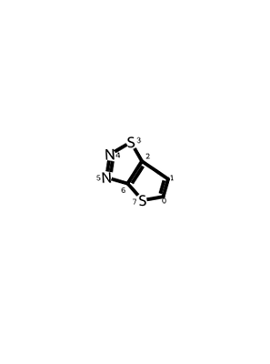 c1cc2snnc2s1